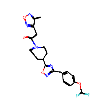 Cc1nonc1CC(=O)N1CCC(c2nc(-c3ccc(OC(F)F)cc3)no2)CC1